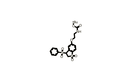 CC(C)(C)OC(=O)NCCOc1ccc2c(c1)C(S(=O)(=O)c1ccccc1)CS2(=O)=O